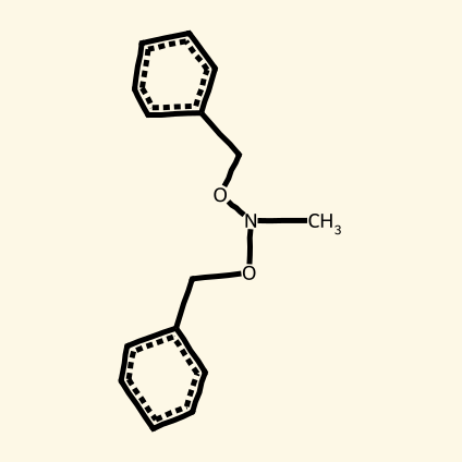 CN(OCc1ccccc1)OCc1ccccc1